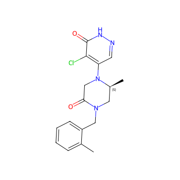 Cc1ccccc1CN1C[C@H](C)N(c2cn[nH]c(=O)c2Cl)CC1=O